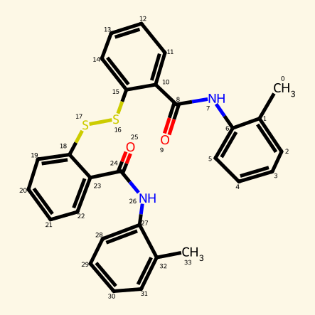 Cc1ccccc1NC(=O)c1ccccc1SSc1ccccc1C(=O)Nc1ccccc1C